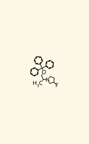 CC(COC(c1ccccc1)(c1ccccc1)c1ccccc1)N1CCC(F)C1